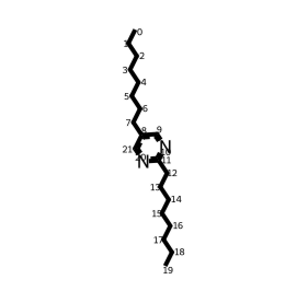 CCCCCCCCc1cnc(CCCCCCCC)nc1